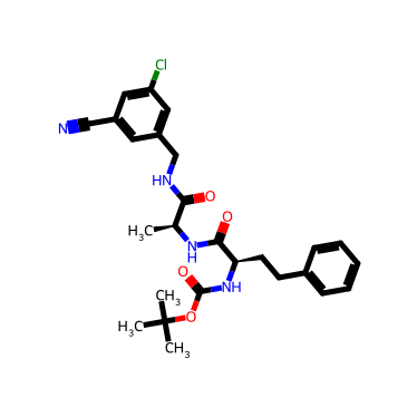 C[C@H](NC(=O)[C@@H](CCc1ccccc1)NC(=O)OC(C)(C)C)C(=O)NCc1cc(Cl)cc(C#N)c1